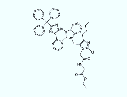 CCCCc1nc(Cl)c(CC(=O)NCC(=O)OCC)n1Cc1c2ccocc-2c(Br)c1-c1ccccc1-c1nnn(C(c2ccccc2)(c2ccccc2)c2ccccc2)n1